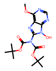 COc1ncnc2c1nc(N(C(=O)OC(C)(C)C)C(=O)OC(C)(C)C)n2O